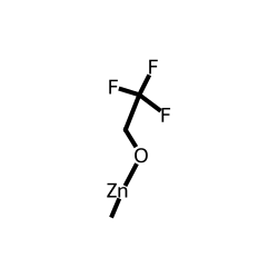 [CH3][Zn][O]CC(F)(F)F